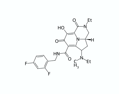 CCN1C[C@@H]2CC(N(C)CC)c3c(C(=O)NCc4ccc(F)cc4F)c(=O)c(O)c(n32)C1=O